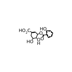 O=C(O)C1=CC(OC(=O)c2ccccc2O)C(O)C(O)C1